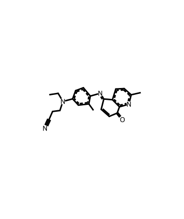 CCN(CCC#N)c1ccc(N=C2C=CC(=O)c3nc(C)ccc32)c(C)c1